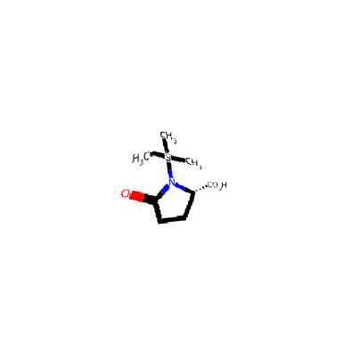 C[Si](C)(C)N1C(=O)CC[C@H]1C(=O)O